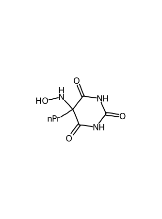 CCCC1(NO)C(=O)NC(=O)NC1=O